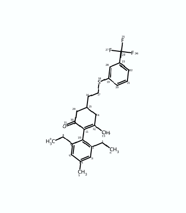 CCc1cc(C)cc(CC)c1C1=C(O)CC(CCSc2cccc(C(F)(F)F)c2)CC1=O